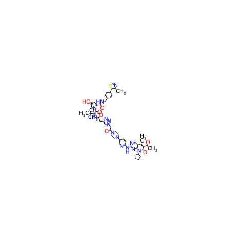 CC(=O)c1c(C)c2cnc(Nc3ccc(N4CCN(C(=O)Cn5cc(CC(=O)N[C@H](C(=O)N6C[C@H](O)C[C@H]6C(=O)NCc6ccc(-c7scnc7C)cc6)C(C)(C)C)nn5)CC4)cn3)nc2n(C2CCCC2)c1=O